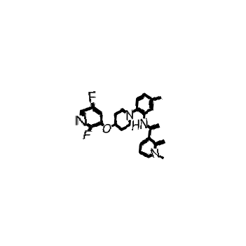 C=C(Nc1cc(C)ccc1N1CCC(Oc2cc(F)cnc2F)CC1)C1=CC=CN(C)C1=C